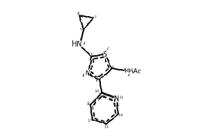 CC(=O)Nc1sc(NC2CC2)nc1-c1ccccn1